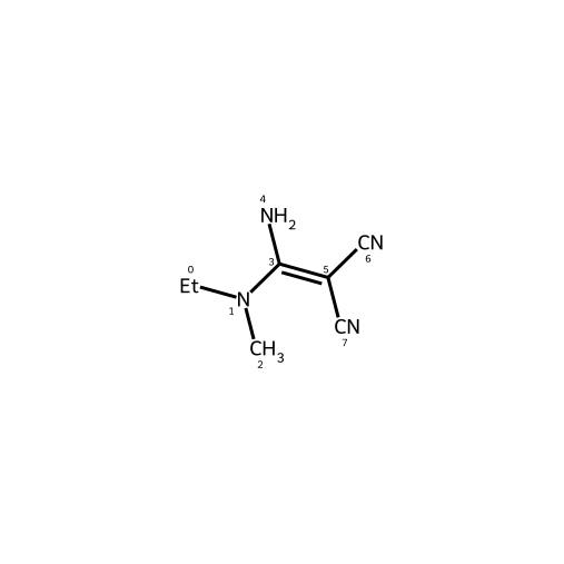 CCN(C)C(N)=C(C#N)C#N